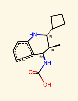 C[C@@H]1[C@@H](C2CCC2)Nc2ccccc2[C@@H]1NC(=O)O